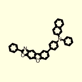 c1ccc(-c2nc3cc4c(cc3o2)oc2ccc(-c3ccc(N(c5ccccc5)c5ccc6ccccc6c5)cc3)cc24)cc1